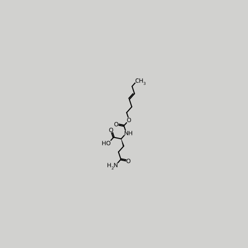 CC/C=C/CCOC(=O)N[C@@H](CCC(N)=O)C(=O)O